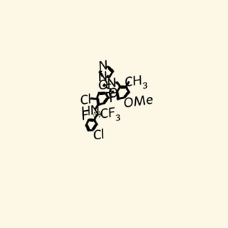 COc1ccc(CN(c2ccncn2)S(=O)(=O)c2cc(Cl)c(N[C@H](c3cc(Cl)ccc3F)C(F)(F)F)cc2F)c(C)c1